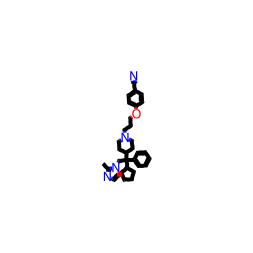 Cc1nccn1CC(c1ccccc1)(C1CCCC1)C1CCN(CCCOc2ccc(C#N)cc2)CC1